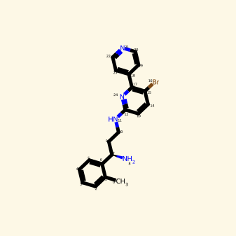 Cc1ccccc1[C@H](N)CCNc1ccc(Br)c(-c2ccncc2)n1